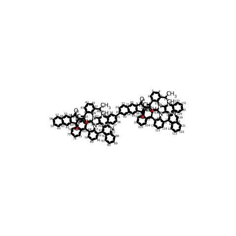 CC(C)c1cccc(C(C)C)c1N1/C(=C\C=C2\C(=O)c3cc4ccc(-c5ccc6nc7c(nc6c5)N(c5c(C(C)C)cccc5C(C)C)/C(=C\C=C5C(=O)c6cc8ccccc8cc6C5=O)N7c5c(-c6ccnc7ccccc67)cccc5-c5ccnc6ccccc56)cc4cc3C2=O)N(c2c(C3=c4ccccc4=CNC3)cccc2-c2cncc3ccccc23)c2nc3ccccc3nc21